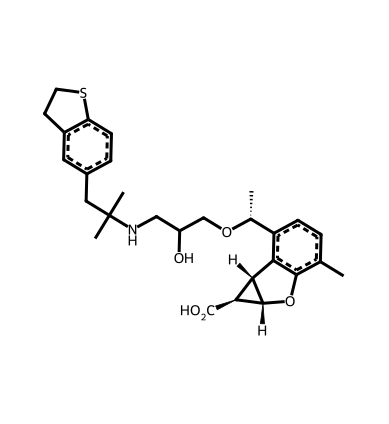 Cc1ccc([C@@H](C)OCC(O)CNC(C)(C)Cc2ccc3c(c2)CCS3)c2c1O[C@@H]1[C@@H](C(=O)O)[C@H]21